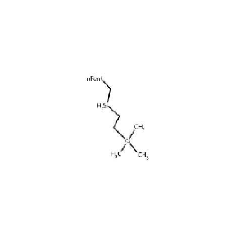 CCCCCC[SiH2]CC[Si](C)(C)C